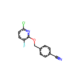 N#Cc1ccc(COc2nc(Cl)ccc2F)cc1